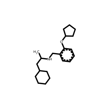 CC(CC1CCCCC1)NCc1ccccc1OC1CCCC1